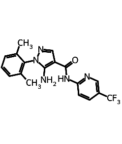 Cc1cccc(C)c1-n1ncc(C(=O)Nc2ccc(C(F)(F)F)cn2)c1N